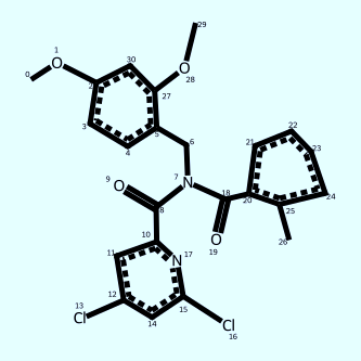 COc1ccc(CN(C(=O)c2cc(Cl)cc(Cl)n2)C(=O)c2ccccc2C)c(OC)c1